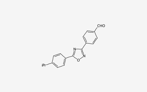 CC(C)c1ccc(-c2nc(-c3ccc(C=O)cc3)no2)cc1